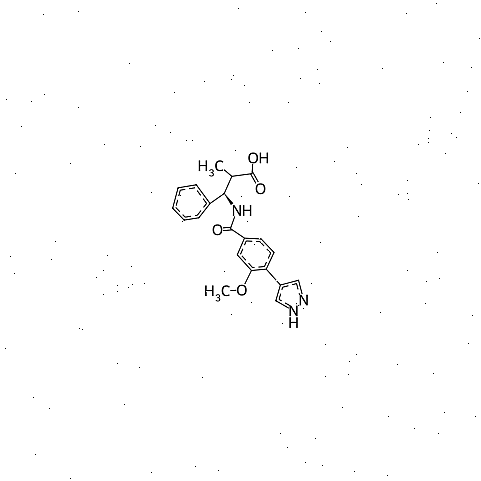 COc1cc(C(=O)N[C@@H](c2ccccc2)C(C)C(=O)O)ccc1-c1cn[nH]c1